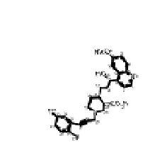 COc1ccc2nccc([C@@H](O)CC[C@@H]3CCN(CC#Cc4cc(F)ccc4F)C[C@@H]3C(=O)O)c2c1